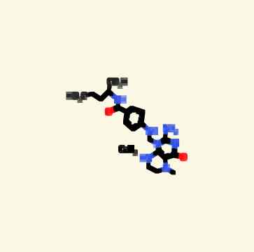 CN1CCNc2c1c(=O)nc(N)n2CNc1ccc(C(=O)N[C@@H](CCC(=O)O)C(=O)O)cc1.[CaH2]